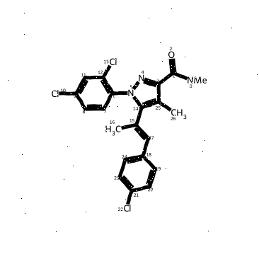 CNC(=O)c1nn(-c2ccc(Cl)cc2Cl)c(C(C)=Cc2ccc(Cl)cc2)c1C